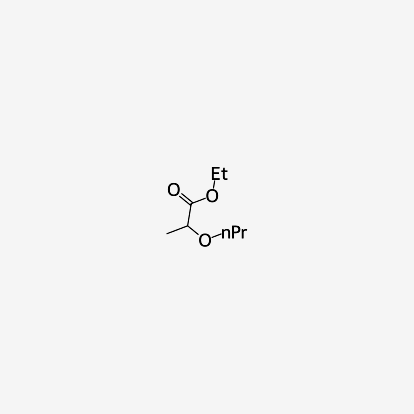 CCCOC(C)C(=O)OCC